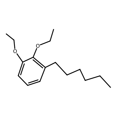 CCCCCCc1cccc(OCC)c1OCC